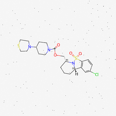 O=C(OC[C@H]1CCC[C@H]2c3cc(Cl)ccc3S(=O)(=O)N12)N1CCC(N2CCSCC2)CC1